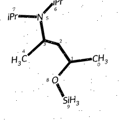 CC(CC(C)N(C(C)C)C(C)C)O[SiH3]